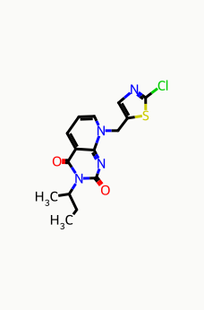 CCC(C)n1c(=O)nc2n(Cc3cnc(Cl)s3)cccc-2c1=O